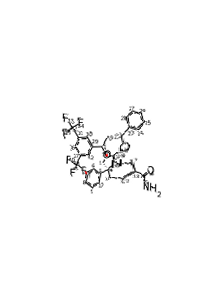 CC(OC[C@@]1(c2ccccc2)CC=C(C(N)=O)CN1C(=O)OCc1ccccc1)c1cc(C(F)(F)F)cc(C(F)(F)F)c1